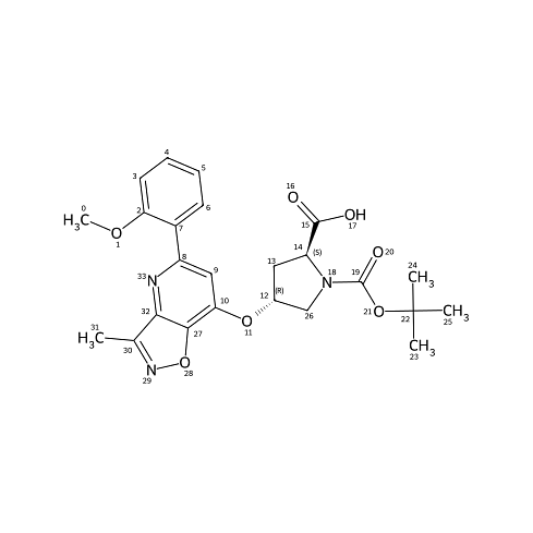 COc1ccccc1-c1cc(O[C@@H]2C[C@@H](C(=O)O)N(C(=O)OC(C)(C)C)C2)c2onc(C)c2n1